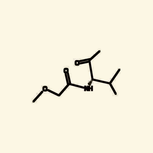 COCC(=O)N[C@H](C(C)=O)C(C)C